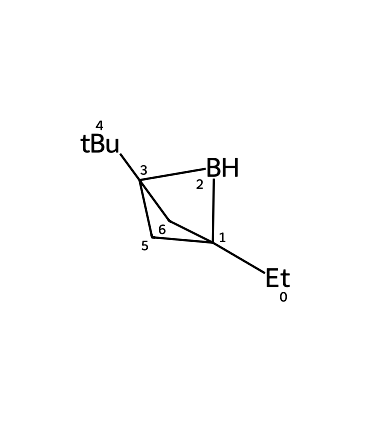 CCC12BC(C(C)(C)C)(C1)C2